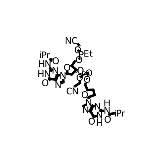 CCP(OCC#N)OCC1OC(n2cnc3c(=O)[nH]c(NC(=O)C(C)C)nc32)C[C@@H]1OP(=O)(OCCC#N)OCC1CCC(n2cnc3c(=O)[nH]c(NC(=O)C(C)C)nc32)O1